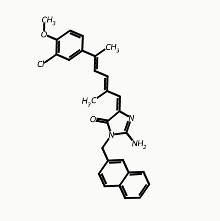 COc1ccc(/C(C)=C/C=C(C)/C=C2/N=C(N)N(Cc3ccc4ccccc4c3)C2=O)cc1Cl